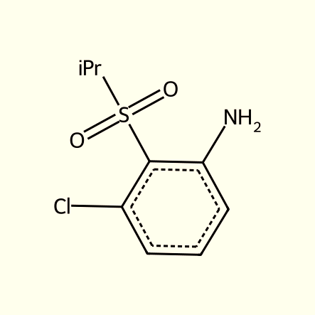 CC(C)S(=O)(=O)c1c(N)cccc1Cl